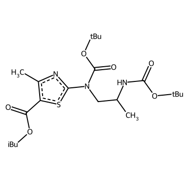 CCC(C)OC(=O)c1sc(N(CC(C)NC(=O)OC(C)(C)C)C(=O)OC(C)(C)C)nc1C